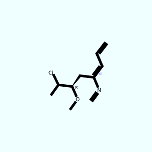 C=C/C=C(\C[C@@H](OC)C(C)Cl)N=C